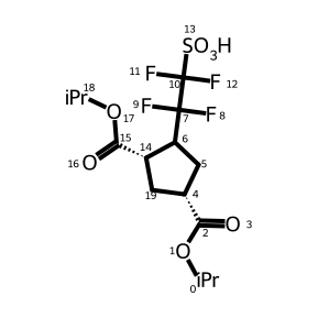 CC(C)OC(=O)[C@H]1CC(C(F)(F)C(F)(F)S(=O)(=O)O)[C@@H](C(=O)OC(C)C)C1